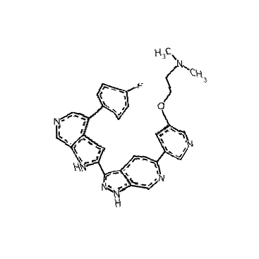 CN(C)CCOc1cncc(-c2cc3c(-c4cc5c(-c6ccc(F)cc6)cncc5[nH]4)n[nH]c3cn2)c1